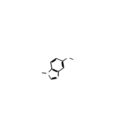 Cn1cnc2cc(OC(F)(F)F)ccc21